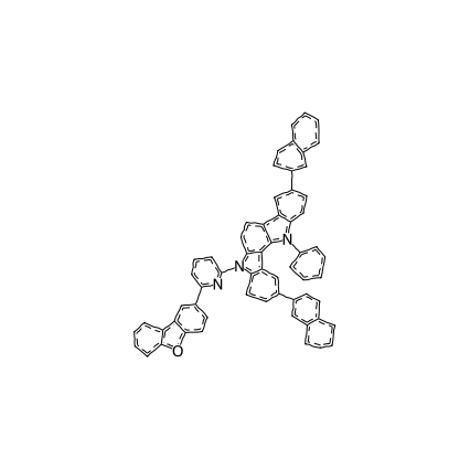 c1ccc(-n2c3ccc(-c4ccc5ccccc5c4)cc3c3ccc4c(c5cc(-c6ccc7ccccc7c6)ccc5n4-c4cccc(-c5ccc6oc7ccccc7c6c5)n4)c32)cc1